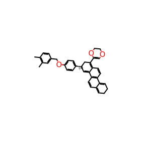 Cc1ccc(COc2ccc([C@@H]3C=c4c(ccc5c6c(ccc45)=CCCC=6)=C(C4=COCCO4)C3)cc2)cc1C